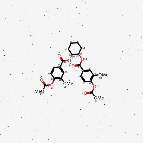 COC(=O)Oc1ccc(C(=O)O[C@@H]2CCCC[C@H]2OC(=O)c2ccc(OC(=O)OC)c(OC)c2)cc1OC